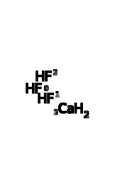 F.F.F.[CaH2]